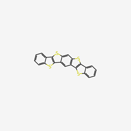 c1ccc2c(c1)sc1c3cc4c(cc3sc21)sc1c2ccccc2sc41